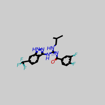 CC(C)CN/C(=N/C(=O)c1ccc(F)c(F)c1)Nc1n[nH]c2cc(C(F)(F)F)ccc12